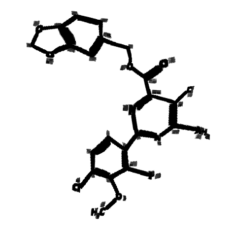 COc1c(Cl)ccc(-c2nc(N)c(Cl)c(C(=O)OCc3ccc4c(c3)OCO4)n2)c1F